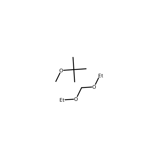 CCOCOCC.COC(C)(C)C